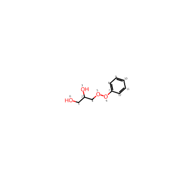 OCC(O)COOc1ccccc1